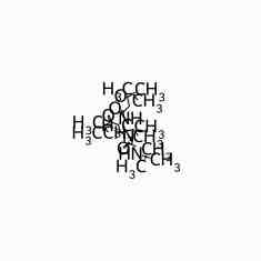 CC(C)(C)NCC(=O)N(CC(NC(=O)CC(=O)C(C)(C)C)C(=O)C(C)(C)C)C(C)(C)C